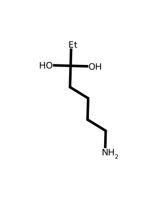 CCC(O)(O)CCCCN